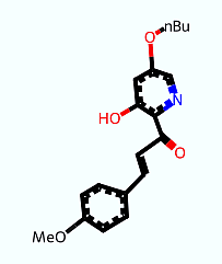 CCCCOc1cnc(C(=O)/C=C/c2ccc(OC)cc2)c(O)c1